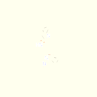 CC(C)(C)N1CCN(C(=O)C2CCC(NS(=O)(=O)c3cnc4ccccc4c3)CC2)C(c2ccccc2)C1